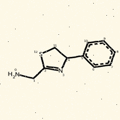 NCC1=NC(c2ccccc2)CS1